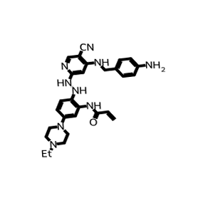 C=CC(=O)Nc1cc(N2CCN(CC)CC2)ccc1NNc1cc(NCc2ccc(N)cc2)c(C#N)cn1